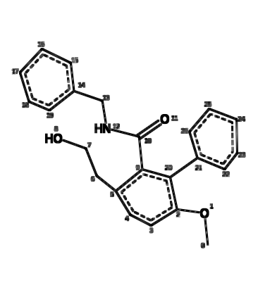 COc1ccc(CCO)c(C(=O)NCc2ccccc2)c1-c1ccccc1